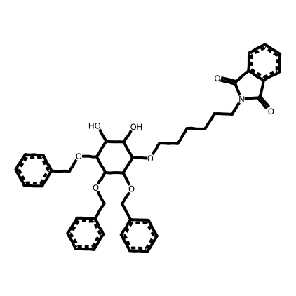 O=C1c2ccccc2C(=O)N1CCCCCCOC1C(O)C(O)C(OCc2ccccc2)C(OCc2ccccc2)C1OCc1ccccc1